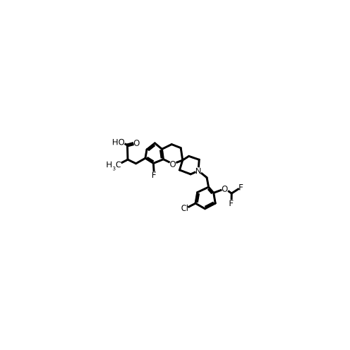 CC(Cc1ccc2c(c1F)OC1(CC2)CCN(Cc2cc(Cl)ccc2OC(F)F)CC1)C(=O)O